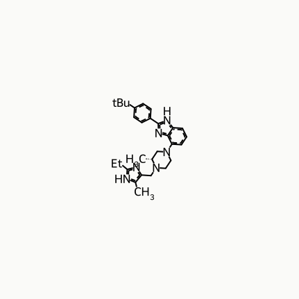 CCc1nc(CN2CCN(c3cccc4[nH]c(-c5ccc(C(C)(C)C)cc5)nc34)C[C@H]2C)c(C)[nH]1